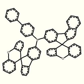 c1ccc(-c2ccc(N(c3ccc4c(c3)C3(c5ccccc5Oc5ccccc53)c3ccccc3-4)c3ccc4c(c3)C3(c5ccccc5Oc5ccccc53)c3ccc5ccccc5c3-4)cc2)cc1